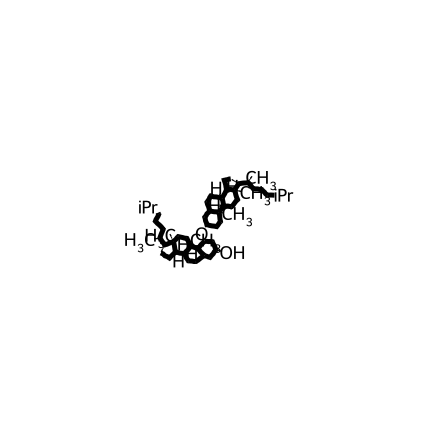 CC(C)CCC[C@@H](C)[C@H]1CC[C@H]2[C@@H]3CCC4C[C@@H](O)CC(O[C@H]5CC[C@@]6(C)C(CC[C@H]7[C@@H]8CC[C@H]([C@H](C)CCCC(C)C)[C@@]8(C)CC[C@@H]76)C5)[C@]4(C)[C@H]3CC[C@]12C